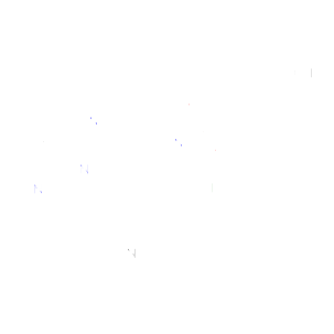 Cc1ccc(S(=O)(=O)n2cc(-c3ncc(F)c(NC4CCCCC4)n3)c3cc(C#N)cc(F)c32)cc1